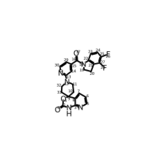 O=C1Nc2ncccc2C2(CCN(c3cc(C(=O)N4CCc5c4ccc(F)c5F)ccn3)CC2)O1